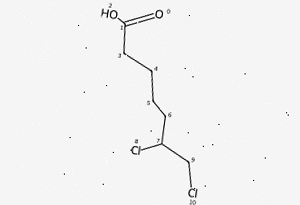 O=C(O)CCCCC(Cl)CCl